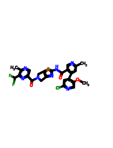 COc1cnc(Cl)cc1-c1cc(C)ncc1C(=O)Nc1nc2c(s1)CN(C(=O)c1cnc(C)c(C(F)F)n1)C2